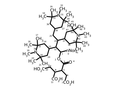 CCCCCCCCCC(OC(=O)C(CC(=O)O)C(CC(=O)O)C(=O)O)C(C1CC(C)(C)N(C)C(C)(C)C1)C(CC1CC(C)(C)N(C)C(C)(C)C1)C1CC(C)(C)N(C)C(C)(C)C1